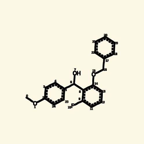 COc1ccc(C(O)c2c(F)cccc2OCc2ccccc2)cc1